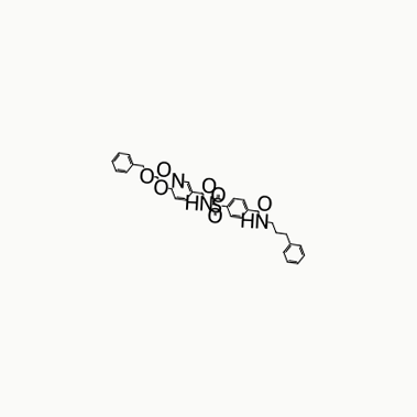 O=C(OCc1ccccc1)Oc1ccc(C(=O)NS(=O)(=O)c2ccc(C(=O)NCCCc3ccccc3)cc2)cn1